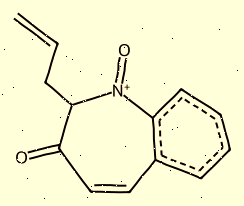 C=CCC1C(=O)C=Cc2ccccc2[N+]1=O